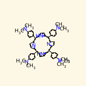 CN(C)c1ccc(-c2c3nc(c(-c4ccc(N(C)C)cc4)c4ccc([nH]4)c(-c4ccc(N(C)C)cc4)c4nc(c(-c5ccc(N(C)C)cc5)c5ccc2[nH]5)C=C4)C=C3)cc1.[Zn]